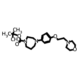 CC(C)(C)OC(=O)N1CCCN(c2ccc(OCCN3CCOCC3)cc2)CC1